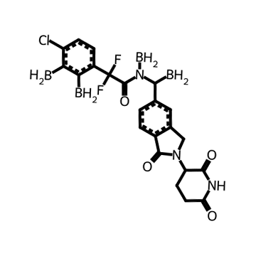 Bc1c(Cl)ccc(C(F)(F)C(=O)N(B)C(B)c2ccc3c(c2)CN(C2CCC(=O)NC2=O)C3=O)c1B